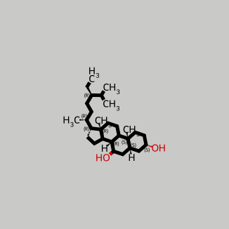 CC[C@H](CC[C@@H](C)[C@H]1CCC2[C@@H]3C(O)C[C@@H]4C[C@@H](O)CC[C@]4(C)C3CC[C@@]21C)C(C)C